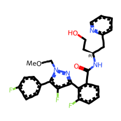 COCn1nc(-c2c(F)cccc2C(=O)N[C@@H](CCO)Cc2ccccn2)c(F)c1-c1ccc(F)cc1